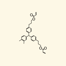 C=CC(=O)OCCCc1ccc(C(c2ccc(CCCOC(=O)C=C)cc2)c2ccc(C)c(C)c2)cc1